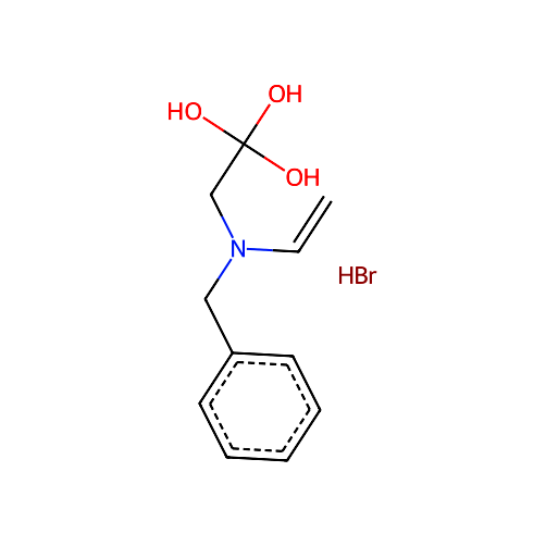 Br.C=CN(Cc1ccccc1)CC(O)(O)O